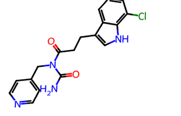 NC(=O)N(Cc1ccncc1)C(=O)CCc1c[nH]c2c(Cl)cccc12